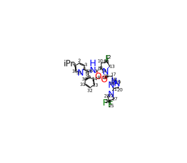 CC(C)c1ccc([C@@H](NC(=O)[C@@H]2C[C@@H](F)CN2C(=O)Cn2ncc(N3CC(F)(F)C3)n2)c2ccccc2)nc1